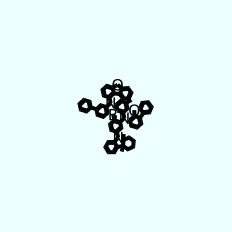 Cc1cc2c3c(c1)N(c1cccc4oc5ccccc5c14)c1cc(-c4ccccc4)ccc1B3c1ccc(N3c4ccccc4C4(C)CCCCC34C)cc1N2c1cccc2c1oc1ccccc12